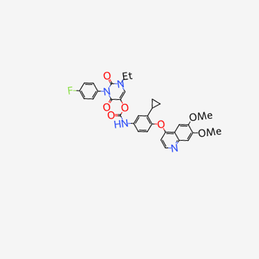 CCn1cc(OC(=O)Nc2ccc(Oc3ccnc4cc(OC)c(OC)cc34)c(C3CC3)c2)c(=O)n(-c2ccc(F)cc2)c1=O